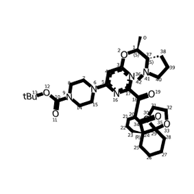 C[C@H](Oc1cc(N2CCN(C(=O)OC(C)(C)C)CC2)nc(C(=O)C2CCC[C@@]3(CCCCC34OCCO4)C2=O)n1)[C@@H]1CCCN1C